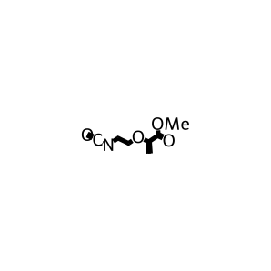 C=C(OCCN=C=O)C(=O)OC